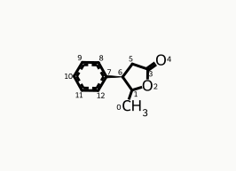 CC1OC(=O)C[C@@H]1c1ccccc1